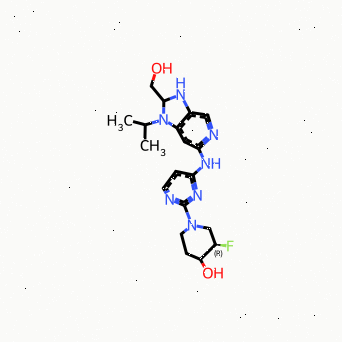 CC(C)N1c2cc(Nc3ccnc(N4CCC(O)[C@H](F)C4)n3)ncc2NC1CO